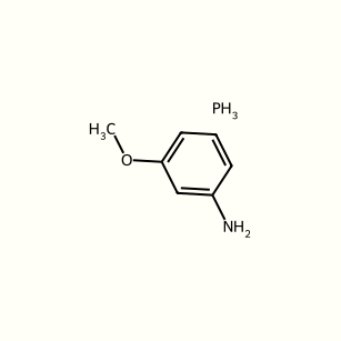 COc1cccc(N)c1.P